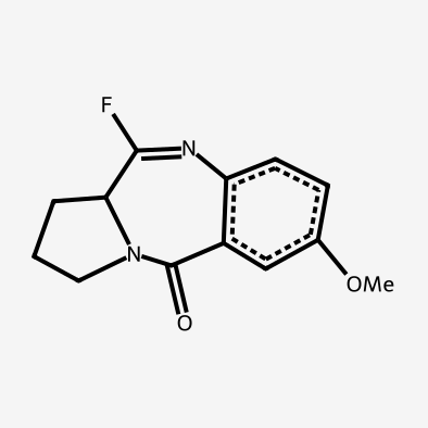 COc1ccc2c(c1)C(=O)N1CCCC1C(F)=N2